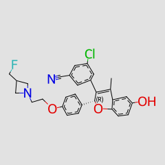 CC1=C(c2cc(Cl)cc(C#N)c2)[C@@H](c2ccc(OCCN3CC(CF)C3)cc2)Oc2ccc(O)cc21